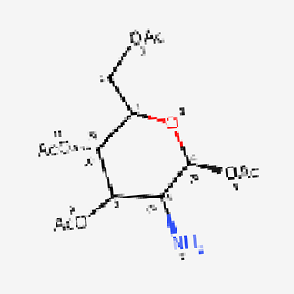 CC(=O)OCC1O[C@@H](OC(C)=O)[C@@H](N)C(OC(C)=O)[C@@H]1OC(C)=O